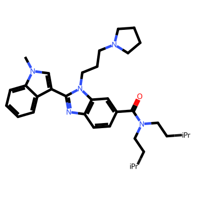 CC(C)CCN(CCC(C)C)C(=O)c1ccc2nc(-c3cn(C)c4ccccc34)n(CCCN3CCCC3)c2c1